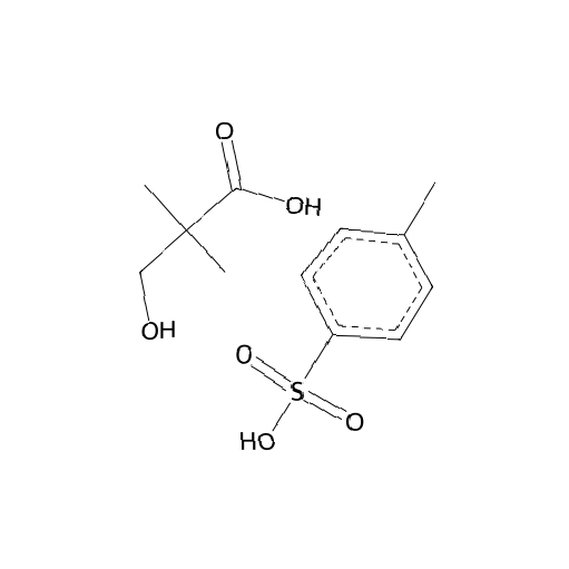 CC(C)(CO)C(=O)O.Cc1ccc(S(=O)(=O)O)cc1